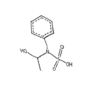 [CH2]C(O)N(c1ccccc1)S(=O)(=O)O